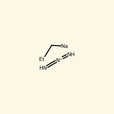 CC[CH2][Na].N=[N+]=N